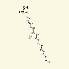 CCCCCC=CCC=CCC=CCC=CCCCC(=O)O.[Zn]